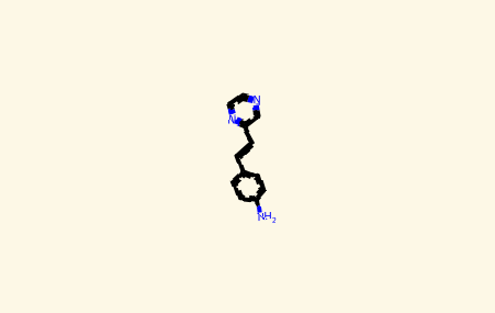 Nc1ccc(C=Cc2cnccn2)cc1